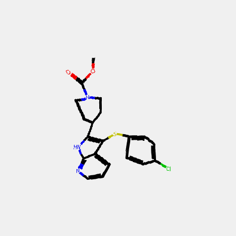 COC(=O)N1CCC(c2[nH]c3ncccc3c2Sc2ccc(Cl)cc2)CC1